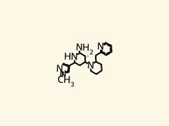 Cn1cc(C2CC(N3CCCCC3Cc3ccccn3)[CH]C(N)N2)cn1